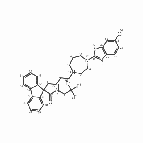 O=C(NCC(F)(F)F)C1(CCCCN2CCCN(c3nc4ccc(Cl)cc4s3)CC2)c2ccccc2-c2ccccc21